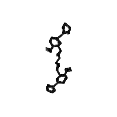 Oc1ccc(-c2cccs2)cc1C=NCCN=Cc1cc(-c2cccs2)ccc1O